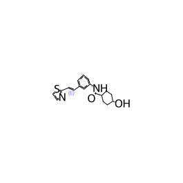 O=C(Nc1cccc(/C=C/c2nccs2)c1)C1CCC(O)CC1